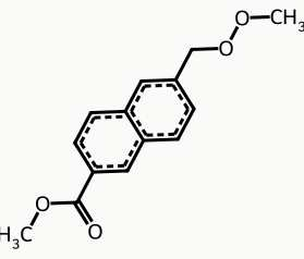 COOCc1ccc2cc(C(=O)OC)ccc2c1